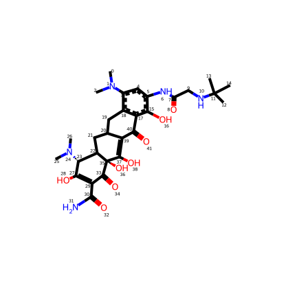 CN(C)c1cc(NC(=O)CNC(C)(C)C)c(O)c2c1CC1CC3[C@@H](N(C)C)C(O)=C(C(N)=O)C(=O)[C@@]3(O)C(O)=C1C2=O